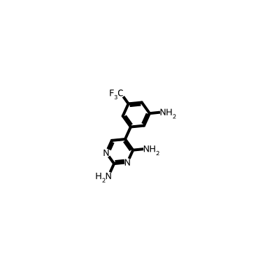 Nc1cc(-c2cnc(N)nc2N)cc(C(F)(F)F)c1